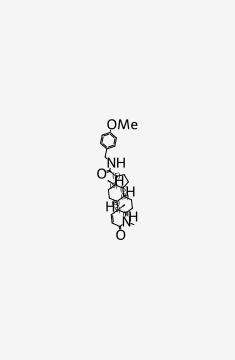 COc1ccc(CNC(=O)[C@H]2CC[C@H]3[C@@H]4CC[C@H]5N(C)C(=O)C=C[C@]5(C)[C@H]4CC[C@]23C)cc1